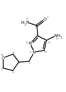 NC(=O)c1nn(CC2CCOC2)cc1N